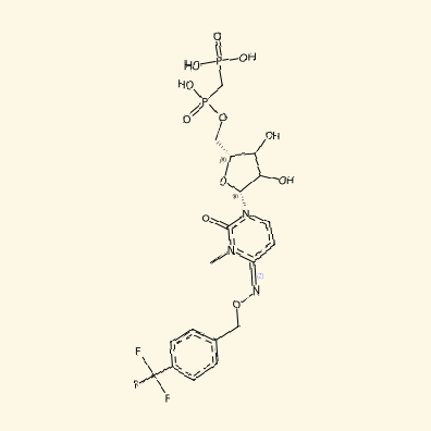 Cn1c(=O)n([C@@H]2O[C@H](COP(=O)(O)CP(=O)(O)O)C(O)C2O)cc/c1=N/OCc1ccc(C(F)(F)F)cc1